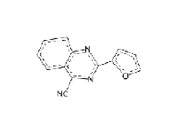 N#Cc1nc(-c2ccco2)nc2ccccc12